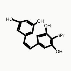 CCCc1c(O)cc(/C=C\c2cc(O)cc(O)c2)cc1O